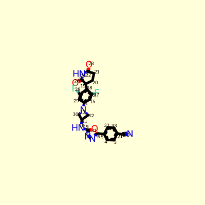 N#Cc1ccc(-c2nnc(NC3CN(c4cc(F)c(C5CCC(=O)NC5=O)c(F)c4)C3)o2)cc1